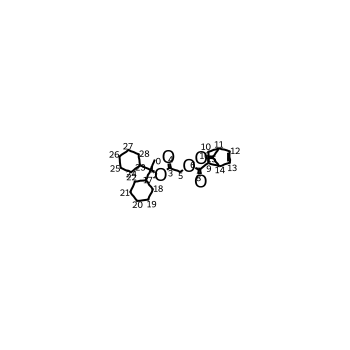 CC(OC(=O)COC(=O)C1CC2C=CC1C2=O)(C1CCCCC1)C1CCCCC1